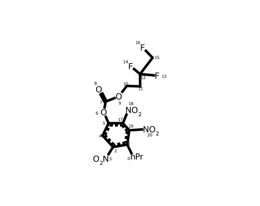 CCCc1c([N+](=O)[O-])cc(OC(=O)OCCC(F)(F)CF)c([N+](=O)[O-])c1[N+](=O)[O-]